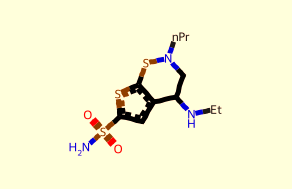 CCCN1CC(NCC)c2cc(S(N)(=O)=O)sc2S1